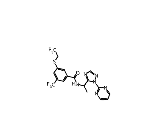 CC(NC(=O)c1cc(SCC(F)(F)F)cc(C(F)(F)F)c1)c1ncnn1-c1ncccn1